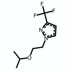 CC(C)OCCn1ccc(C(F)(F)F)n1